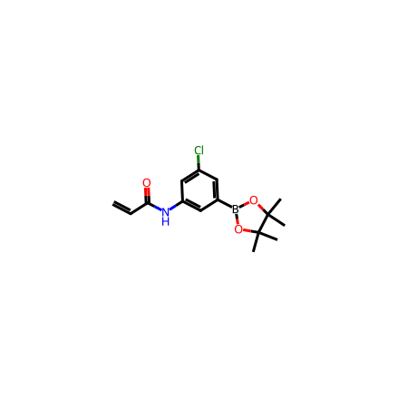 C=CC(=O)Nc1cc(Cl)cc(B2OC(C)(C)C(C)(C)O2)c1